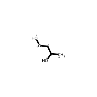 CC(O)COO